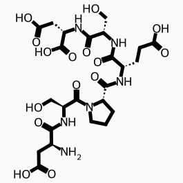 N[C@@H](CC(=O)O)C(=O)N[C@@H](CO)C(=O)N1CCC[C@H]1C(=O)N[C@@H](CCC(=O)O)C(=O)N[C@@H](CO)C(=O)N[C@@H](CC(=O)O)C(=O)O